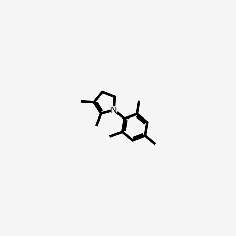 CC1=C(C)N(c2c(C)cc(C)cc2C)CC1